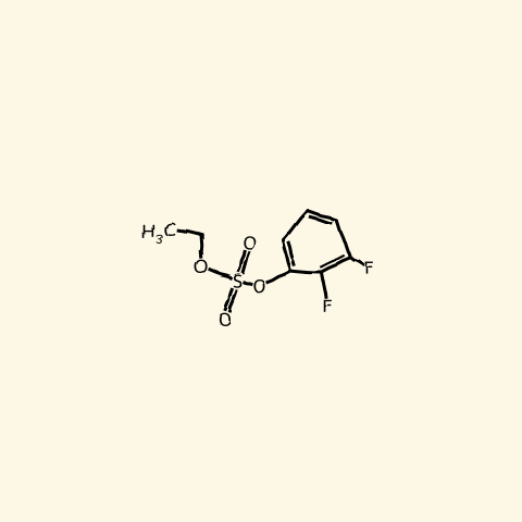 CCOS(=O)(=O)Oc1cccc(F)c1F